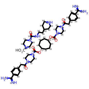 N=C(N)c1ccc(CC(=O)N2CCN(C(=O)O[C@H]3CCC[C@@H](OC(=O)N4CCN(C(=O)Cc5ccc(C(=N)N)cc5)CC4)CCC3)CC2)cc1.O=C(O)N1CCN(C(=O)NCCC2CCNCC2)CC1